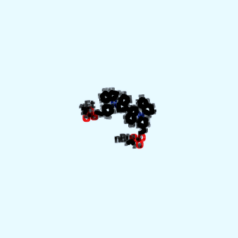 CCCCC(C)(C)OC(=O)OCCC1=CCC(N(c2cccc3ccccc23)c2ccc(-c3ccc(N(c4ccc(CCOC(=O)OC(C)(C)CC)cc4)c4cccc5ccccc45)c4ccccc34)c3ccccc23)C=C1